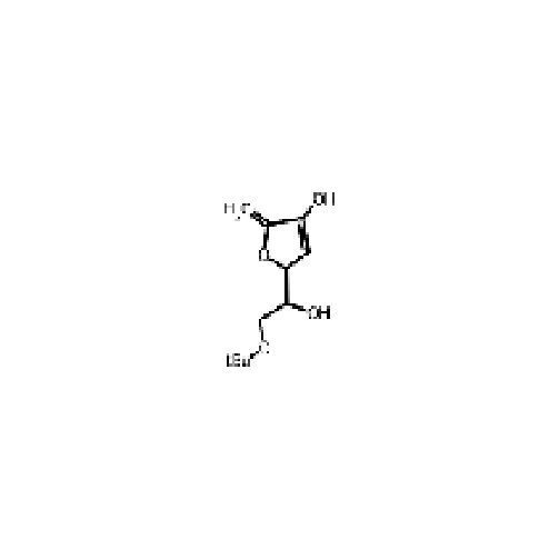 C=C1OC(C(O)COC(C)(C)C)C=C1O